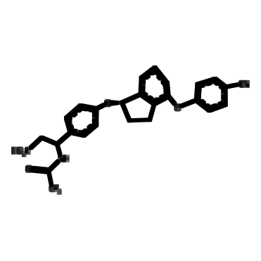 N#Cc1ccc(Oc2cccc3c2CC[C@H]3Oc2ccc(C(CC(=O)O)NC(=O)C(F)(F)F)cc2)cc1